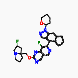 Fc1c(-c2c3ccccc3cc3c2cnn3C2CCCCO2)ncc2cnc(OC[C@@]34CCCN3C[C@H](F)C4)nc12